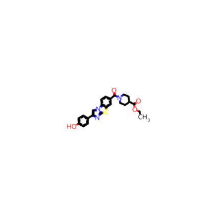 CCOC(=O)C1CCN(C(=O)c2ccc3c(c2)sc2nc(-c4ccc(O)cc4)cn23)CC1